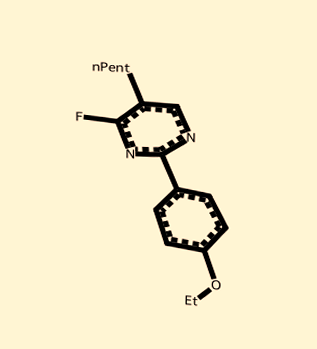 CCCCCc1cnc(-c2ccc(OCC)cc2)nc1F